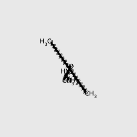 CCCCCCCCCCCCCCCCCC(=O)C(CCCCCCCCCCCCCCC)NCCN(CC)CC